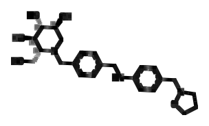 OC[C@@H]1[C@@H](O)[C@H](O)[C@@H](O)CN1Cc1ccc(CNc2ccc(CN3CCCO3)cc2)cc1